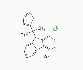 CC(C)(C1=CC=CC1)C1c2ccccc2-c2ccccc21.[Cl-].[Cl-].[Zr+2]